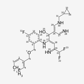 C/C=C\C(=C/C)COCc1cc(F)ccc1N/C(=C\C(=N)C(F)F)C(O)/C(C=N)=C/NCC1CC1